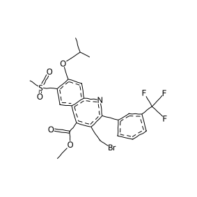 COC(=O)c1c(CBr)c(-c2cccc(C(F)(F)F)c2)nc2cc(OC(C)C)c(S(C)(=O)=O)cc12